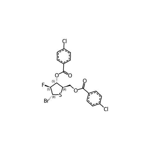 O=C(OC[C@H]1S[C@H](Br)[C@@H](F)[C@@H]1OC(=O)c1ccc(Cl)cc1)c1ccc(Cl)cc1